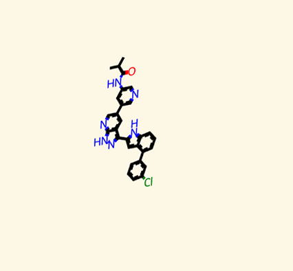 CC(C)C(=O)Nc1cncc(-c2cnc3[nH]nc(-c4cc5c(-c6cccc(Cl)c6)cccc5[nH]4)c3c2)c1